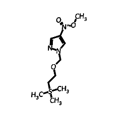 CO[N+](=O)c1cnn(COCCS(C)(C)C)c1